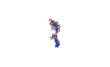 CC(C)(C)OC(=O)N(CCCCC(=O)Nc1cccc2c1CN(C1CCC(=O)/C=C/CC1=O)C2=O)CCN1CCC(N=[N+]=[N-])CC1